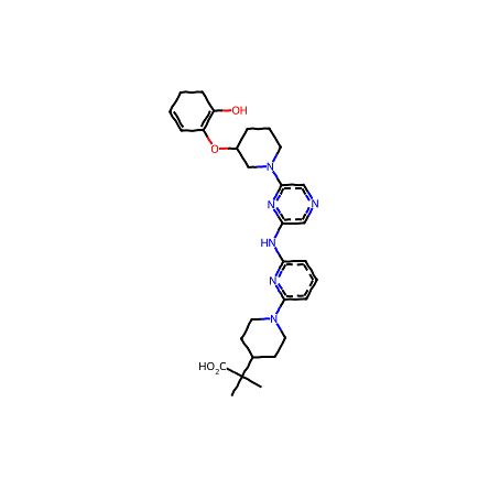 CC(C)(C(=O)O)C1CCN(c2cccc(Nc3cncc(N4CCCC(OC5=C(O)CCC=C5)C4)n3)n2)CC1